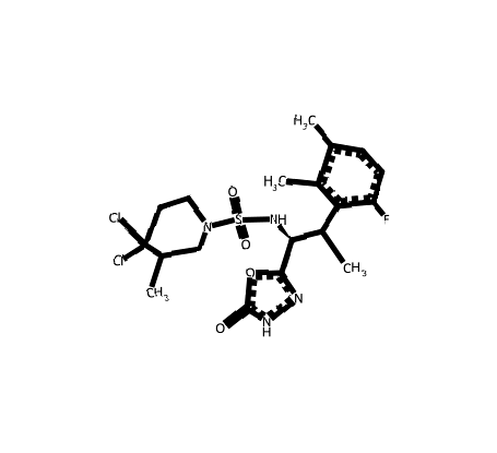 Cc1ccc(F)c(C(C)[C@H](NS(=O)(=O)N2CCC(Cl)(Cl)C(C)C2)c2n[nH]c(=O)o2)c1C